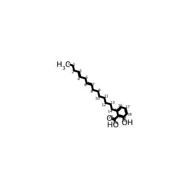 CCC/C=C/C/C=C/CCCCCCCc1cccc(O)c1C(=O)O